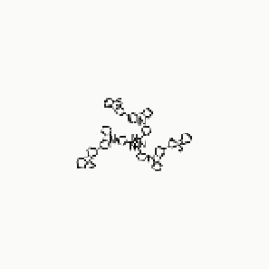 c1cc(-c2nc(-c3ccc(-n4c5ccccc5c5cc(-c6ccc7c(c6)sc6ccccc67)ccc54)cc3)nc(-c3cccc(-n4c5ccccc5c5cc(-c6ccc7c(c6)sc6ccccc67)ccc54)c3)n2)cc(-n2c3ccccc3c3cc(-c4ccc5c(c4)sc4ccccc45)ccc32)c1